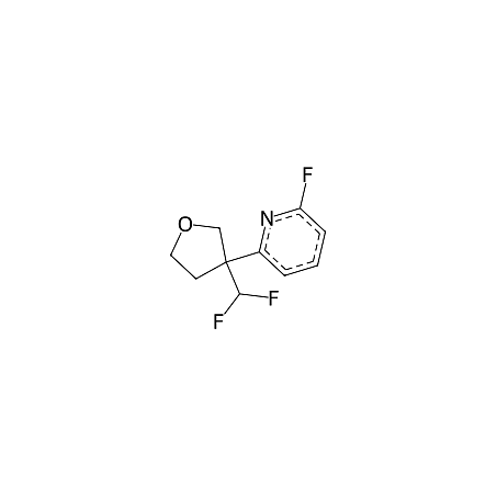 Fc1cccc(C2(C(F)F)CCOC2)n1